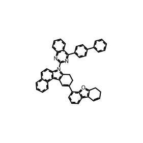 C1=Cc2c(oc3c(C4=Cc5c(n(-c6nc(-c7ccc(-c8ccccc8)cc7)c7ccccc7n6)c6ccc7ccccc7c56)CC4)cccc23)CC1